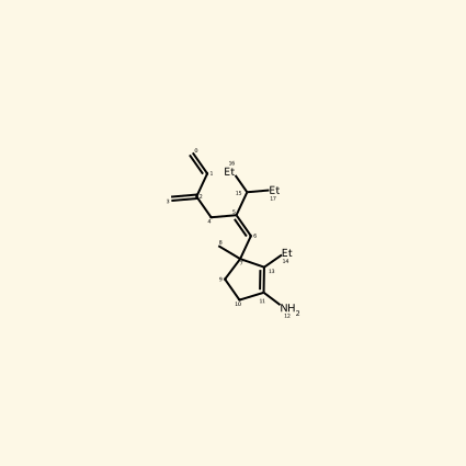 C=CC(=C)C/C(=C\C1(C)CCC(N)=C1CC)C(CC)CC